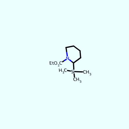 CCOC(=O)N1CCCCC1[Si](C)(C)C